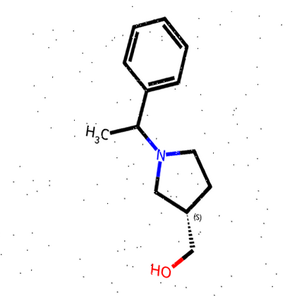 CC(c1ccccc1)N1CC[C@H](CO)C1